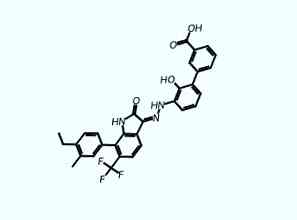 CCc1ccc(-c2c(C(F)(F)F)ccc3c2NC(=O)C3=NNc2cccc(-c3cccc(C(=O)O)c3)c2O)cc1C